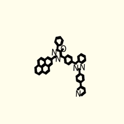 c1cncc(-c2ccc(-c3nc(-c4ccc(-c5nc(-c6cc7ccc8cccc9ccc(c6)c7c89)nc6c5oc5ccccc56)cc4)c4ccccc4n3)cc2)c1